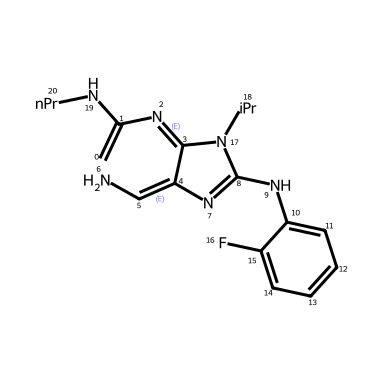 C=C(/N=C1\C(=C/N)N=C(Nc2ccccc2F)N1C(C)C)NCCC